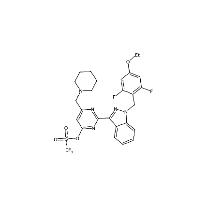 CCOc1cc(F)c(Cn2nc(-c3nc(CN4CCCCC4)cc(OS(=O)(=O)C(F)(F)F)n3)c3ccccc32)c(F)c1